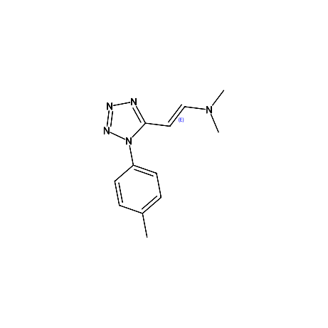 Cc1ccc(-n2nnnc2/C=C/N(C)C)cc1